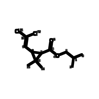 CC(C)COC(=O)C1C(C=C(Cl)Cl)C1(C)C